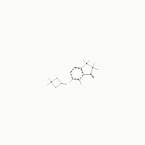 N#Cc1c(OC2CC(F)(F)C2)ccc2c1C(=O)C(F)(F)C2(F)F